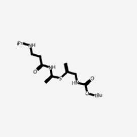 C=C(CNC(=O)OC(C)(C)C)SC(=C)NC(=O)CCNC(C)C